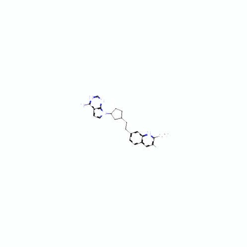 CNc1nc2cc(CCC3CC(n4ccc5c(N)ncnc54)[C@H](O)C3)ccc2cc1Br